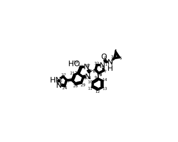 O=C(NC1CC1)N1C[C@@H](c2ccccc2)[C@H](c2nc(O)c3cc(C4C=NNC4)ccc3n2)C1